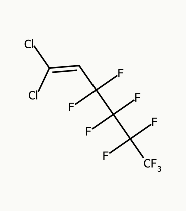 FC(F)(F)C(F)(F)C(F)(F)C(F)(F)C=C(Cl)Cl